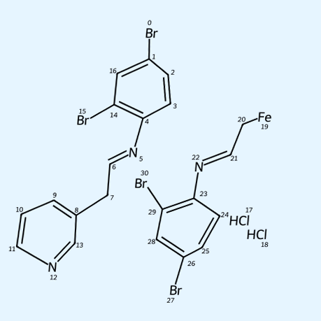 Brc1ccc(N=CCc2cccnc2)c(Br)c1.Cl.Cl.[Fe][CH2]C=Nc1ccc(Br)cc1Br